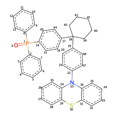 O=P(c1ccccc1)(c1ccccc1)c1ccc(C2(c3ccc(N4c5ccccc5Sc5ccccc54)cc3)CCCCC2)cc1